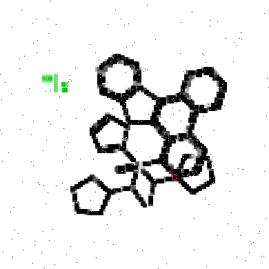 Cl.Cl.[CH2]=[Zr]([C]1=CC=CC1)([c]1cccc2c1c1c(c3ccccc32)-c2ccccc2C1)([CH](C)C1CCCC1)[CH](C)C1CCCC1